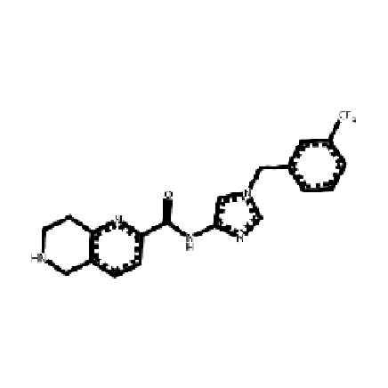 O=C(Nc1cn(Cc2cccc(C(F)(F)F)c2)cn1)c1ccc2c(n1)CCNC2